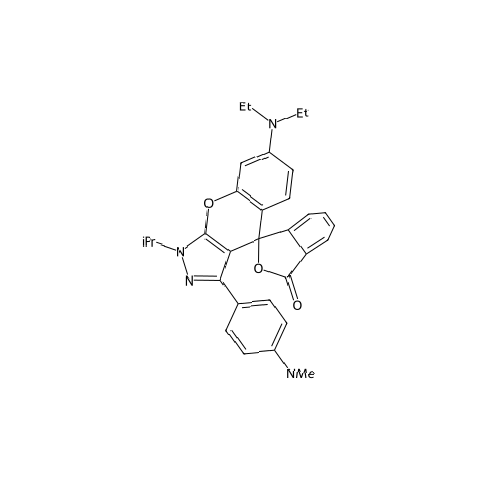 CCN(CC)c1ccc2c(c1)Oc1c(c(-c3ccc(NC)cc3)nn1C(C)C)C21OC(=O)c2ccccc21